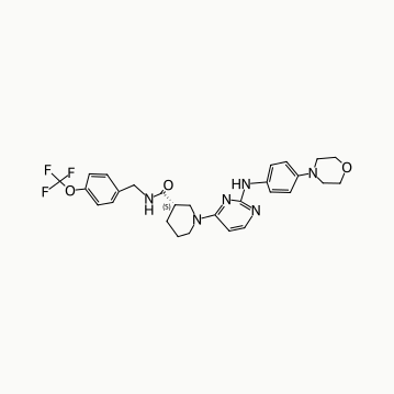 O=C(NCc1ccc(OC(F)(F)F)cc1)[C@H]1CCCN(c2ccnc(Nc3ccc(N4CCOCC4)cc3)n2)C1